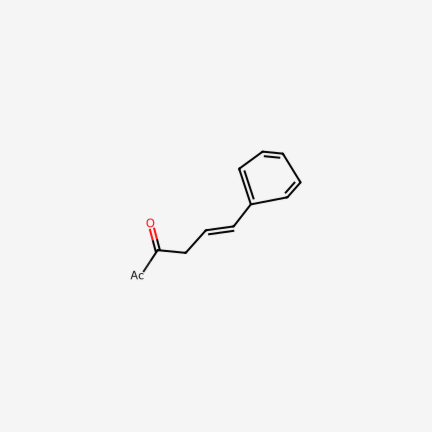 CC(=O)C(=O)CC=Cc1ccccc1